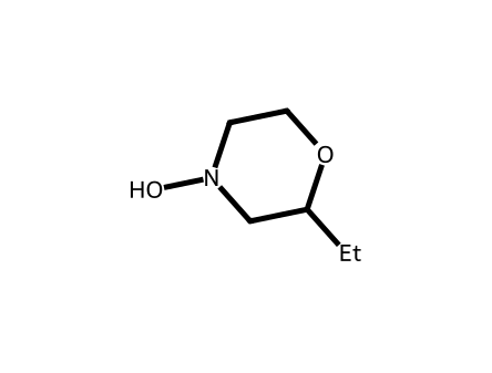 CCC1CN(O)CCO1